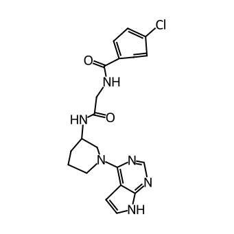 O=C(CNC(=O)c1ccc(Cl)cc1)NC1CCCN(c2ncnc3[nH]ccc23)C1